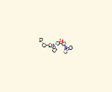 c1ccc(-c2cccc(-c3ccc4c(c3)c3ccccc3n4-c3ccc4oc5ccc(-n6c7ccccc7c7ccccc76)cc5c4c3)c2)cc1